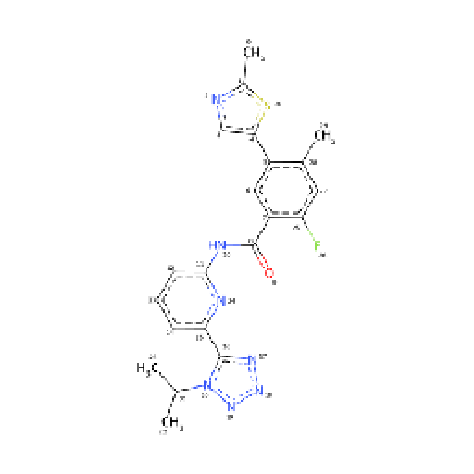 Cc1ncc(-c2cc(C(=O)Nc3cccc(-c4nnnn4C(C)C)n3)c(F)cc2C)s1